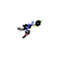 C=CCOC1(C)CCN(c2c(CC(=O)O)c(C)cc3nc(NSc4ccc(F)cc4)cn23)CC1